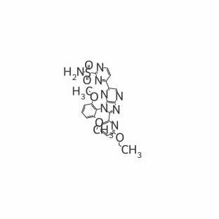 CCOc1cccc(-c2nc3ncc(-c4ccnc(S(N)(=O)=O)n4)nc3n2-c2c(OC)cccc2OC)n1